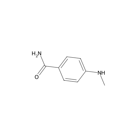 CNc1ccc(C(N)=O)cc1